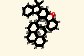 CC1(C)c2ccccc2-c2c1cc1oc3ccccc3c1c2-c1ccc2ccc3cccc4ccc1c2c34